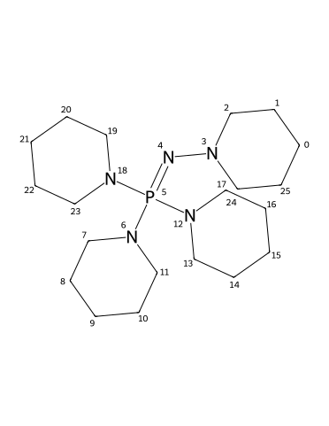 C1CCN(N=P(N2CCCCC2)(N2CCCCC2)N2CCCCC2)CC1